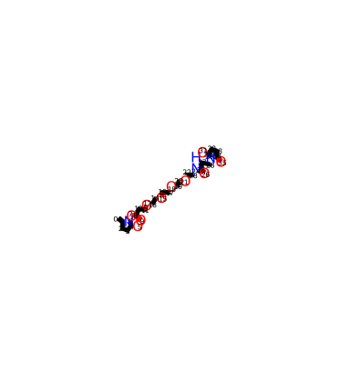 C=C1CCC(=O)N1OC(=O)CCOCCOCCOCCOCCNC(=O)CCN1C(=O)C=CC1=O